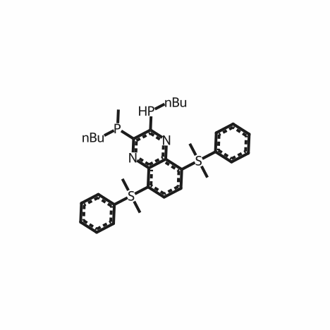 CCCCPc1nc2c(S(C)(C)c3ccccc3)ccc(S(C)(C)c3ccccc3)c2nc1P(C)CCCC